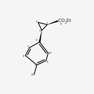 CCOC(=O)[C@@H]1C[C@@H]1c1ccc(C)cc1